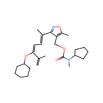 C=C(C)/C(=C\C=C(/C)c1noc(C)c1COC(=O)N(C)C1CCCC1)OC1CCCCC1